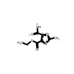 CCOC(=O)c1nc(C)oc1C(=O)O